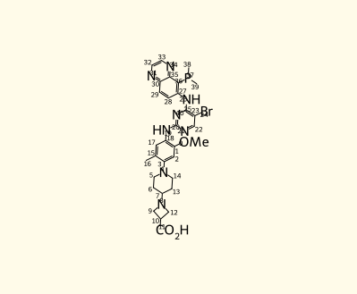 COc1cc(N2CCC(N3CC(C(=O)O)C3)CC2)c(C)cc1Nc1ncc(Br)c(Nc2ccc3nccnc3c2P(C)C)n1